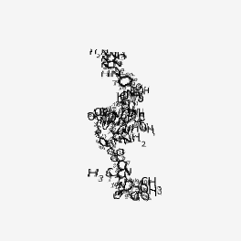 CCc1c2c(nc3ccc(OC(=O)OCc4ccc(SSC[C@H](NC(=O)[C@H](CC(=O)O)NC(=O)[C@H](CCCNC(=N)N)NC(=O)[C@H](CC(=O)O)NC(=O)CC[C@H](NC(=O)c5ccc(NCc6cnc7nc(N)[nH]c(=O)c7n6)cc5)C(=O)O)C(=O)O)cc4)cc13)C1CC3=C(COC(=O)[C@]3(O)CC)C(=O)N1C2